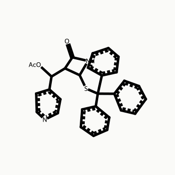 CC(=O)OC(c1ccncc1)C1C(=O)NC1SC(c1ccccc1)(c1ccccc1)c1ccccc1